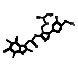 CCC(C)[C@H](NCn1c(-c2ccc(OC(F)(F)F)c(Cl)c2)cs/c1=N\C(=O)Cc1c(C)oc2c1c(=O)n(C)c(=O)n2C)C(=O)O